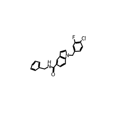 O=C(NCc1ccccc1)c1ccc2c(ccn2Cc2ccc(Cl)c(F)c2)c1